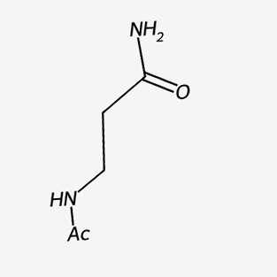 CC(=O)NCCC(N)=O